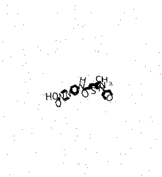 Cc1nn(C2CCOCC2)c2sc(C(=O)NC3CCC(N4CCN(C(=O)O)CC4)CC3)cc12